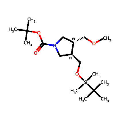 COC[C@H]1CN(C(=O)OC(C)(C)C)C[C@@H]1CO[Si](C)(C)C(C)(C)C